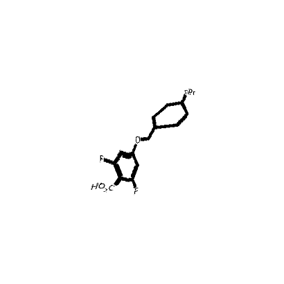 CCCC1CCC(COc2cc(F)c(C(=O)O)c(F)c2)CC1